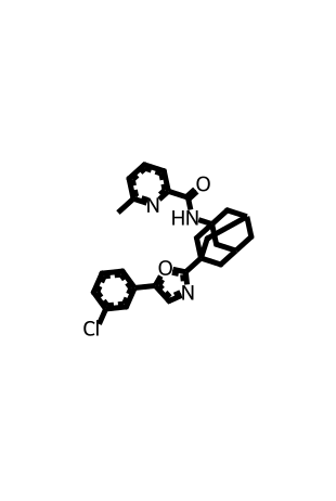 Cc1cccc(C(=O)NC23CC4CC(C2)CC(c2ncc(-c5cccc(Cl)c5)o2)(C4)C3)n1